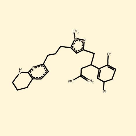 C=C(C#N)CC(Cc1cc(CCCc2ccc3c(n2)NCCC3)n(C)n1)C1=CC(C(C)C)CC=C1CC